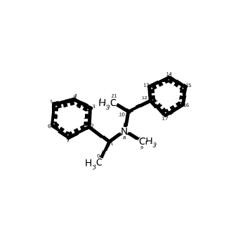 CC(c1ccccc1)N(C)C(C)c1ccccc1